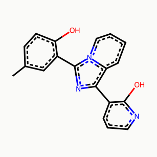 Cc1ccc(O)c(-c2nc(-c3cccnc3O)c3ccccn23)c1